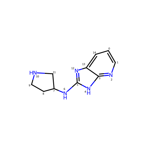 c1cnc2[nH]c(NC3CCNC3)nc2c1